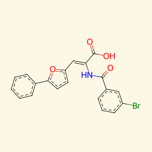 O=C(O)C(=Cc1ccc(-c2ccccc2)o1)NC(=O)c1cccc(Br)c1